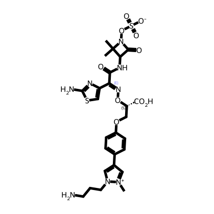 C[n+]1cc(-c2ccc(OC[C@H](O/N=C(/C(=O)NC3C(=O)N(OS(=O)(=O)[O-])C3(C)C)c3csc(N)n3)C(=O)O)cc2)cn1CCCN